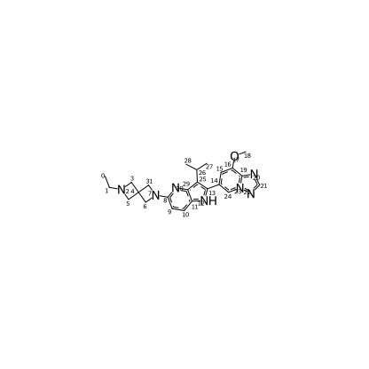 CCN1CC2(C1)CN(c1ccc3[nH]c(-c4cc(OC)c5ncnn5c4)c(C(C)C)c3n1)C2